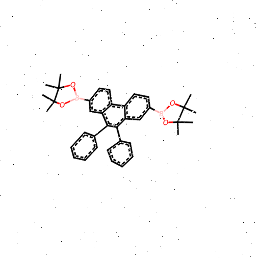 CC1(C)OB(c2ccc3c(c2)c(-c2ccccc2)c(-c2ccccc2)c2cc(B4OC(C)(C)C(C)(C)O4)ccc23)OC1(C)C